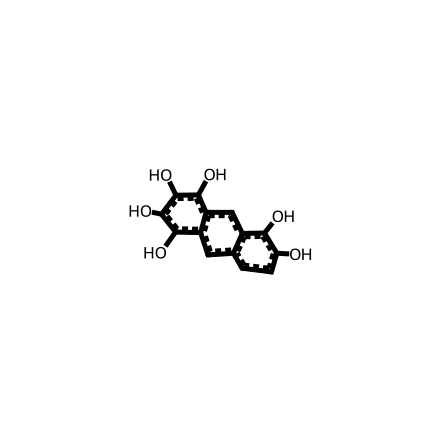 Oc1ccc2cc3c(O)c(O)c(O)c(O)c3cc2c1O